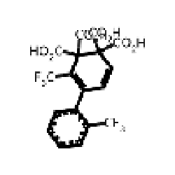 O=C(O)C1(C(=O)O)C=CC(c2ccccc2C(F)(F)F)=C(C(F)(F)F)C1(C(=O)O)C(=O)O